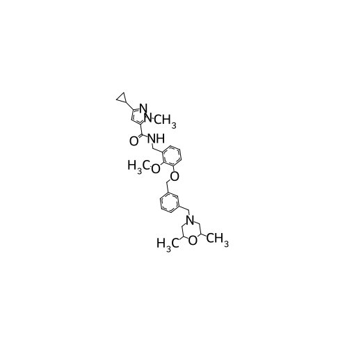 COc1c(CNC(=O)c2cc(C3CC3)nn2C)cccc1OCc1cccc(CN2CC(C)OC(C)C2)c1